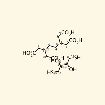 O=C(O)CN(CCN(CC(=O)O)CC(=O)O)CC(=O)O.O[C@H](CS)[C@H](O)CS